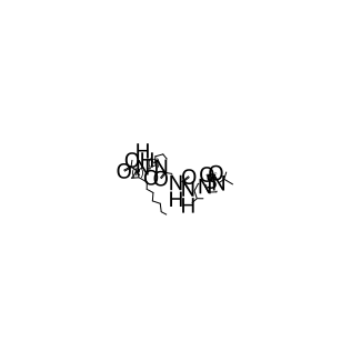 CCCCCCCC1C[C@]1(NC(=O)[C@@H]1CCCN1C(=O)CNC(=O)NC(CN1CCN(C(C)C)S1(=O)=O)C(C)C)C(=O)O